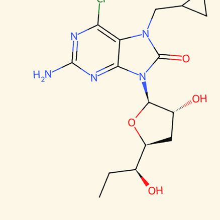 CC[C@H](O)[C@@H]1C[C@@H](O)[C@H](n2c(=O)n(CC3CC3)c3c(Cl)nc(N)nc32)O1